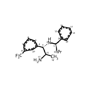 CCC[C@@H](N[C@@H](c1cccc(C(F)(F)F)c1)C(C)N)c1ccccc1